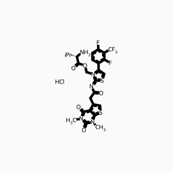 CC(C)[C@H](N)C(=O)OCn1c(-c2ccc(F)c(C(F)(F)F)c2F)cs/c1=N\C(=O)Cc1csc2c1c(=O)n(C)c(=O)n2C.Cl